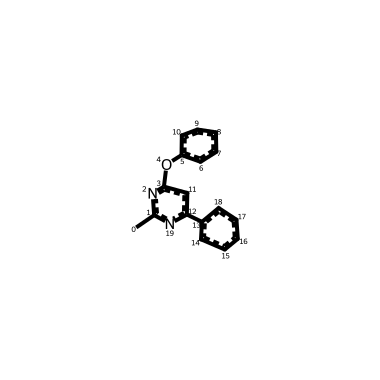 Cc1nc(Oc2ccccc2)cc(-c2ccccc2)n1